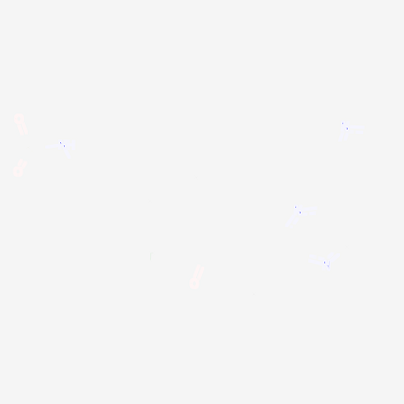 O=C(c1ccc2ncc(-c3cccnc3)nc2c1)c1c(F)c(F)cc(CCCN[SH](=O)=O)c1Cl